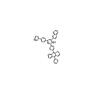 C1=C(c2ccc3ccccc3c2)NC(c2ccc(-c3c4ccccc4c(-c4ccccc4)c4ccccc34)cc2)N=C1c1ccc(-c2cccnc2)cc1